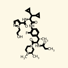 CCC(=O)N[C@@H](C(=O)N1CCN(C)[C@H](C)C1)[C@@H](C)c1ccc(NC(=O)[C@@H](NC(=O)c2ccnn2CCO)C(C2CC2)C2CC2)c(F)c1